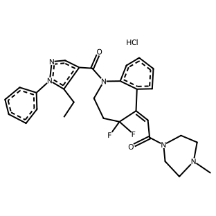 CCc1c(C(=O)N2CCC(F)(F)/C(=C\C(=O)N3CCN(C)CC3)c3ccccc32)cnn1-c1ccccc1.Cl